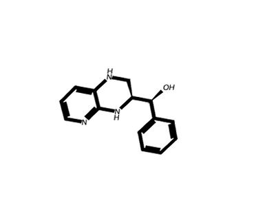 O[C@@H](c1ccccc1)[C@@H]1CNc2cccnc2N1